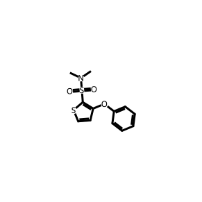 CN(C)S(=O)(=O)c1sccc1Oc1ccccc1